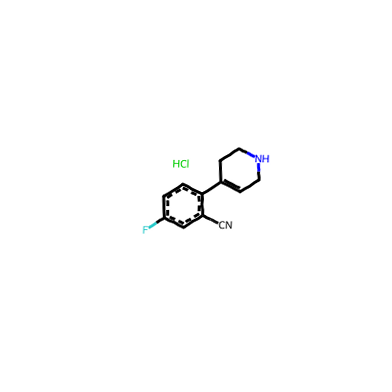 Cl.N#Cc1cc(F)ccc1C1=CCNCC1